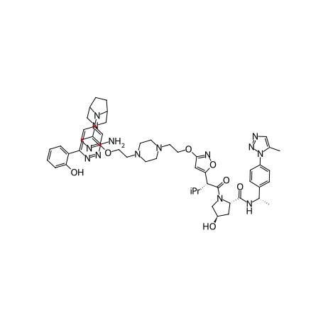 Cc1cnnn1-c1ccc([C@H](C)NC(=O)[C@@H]2C[C@@H](O)CN2C(=O)[C@@H](c2cc(OCCN3CCN(CCOc4cc(N5C6CCC5CN(c5cc(-c7ccccc7O)nnc5N)C6)ccn4)CC3)no2)C(C)C)cc1